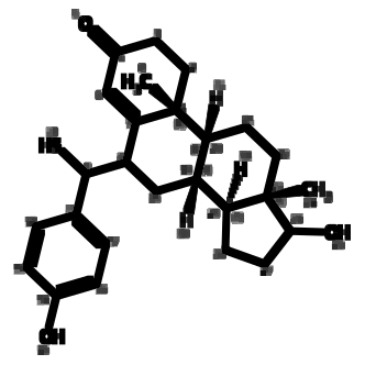 C[C@]12CCC(=O)C=C1C(C(S)c1ccc(O)cc1)C[C@@H]1[C@H]2CC[C@]2(C)C(O)CC[C@@H]12